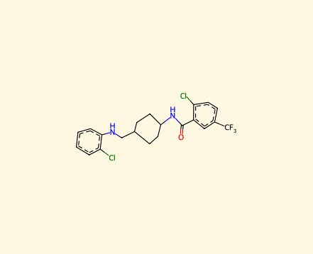 O=C(NC1CCC(CNc2ccccc2Cl)CC1)c1cc(C(F)(F)F)ccc1Cl